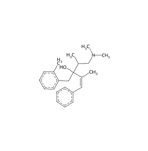 C/C(=C/c1ccccc1)C(O)(Cc1ccccc1C)C(C)CN(C)C